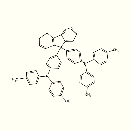 Cc1ccc(N(c2ccc(C)cc2)c2ccc(C3(c4ccc(N(c5ccc(C)cc5)c5ccc(C)cc5)cc4)C4=C(CCC=C4)c4ccccc43)cc2)cc1